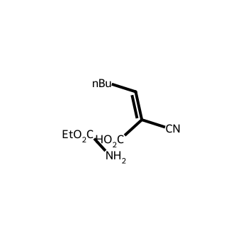 CCCCC=C(C#N)C(=O)O.CCOC(N)=O